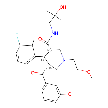 COCCN1C[C@H](C(=O)c2cccc(O)c2)[C@@H](c2cccc(F)c2C)[C@H](C(=O)NCC(C)(C)O)C1